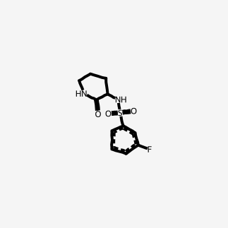 O=C1NCCCC1NS(=O)(=O)c1cccc(F)c1